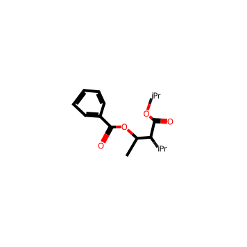 CC(C)OC(=O)C(C(C)C)C(C)OC(=O)c1ccccc1